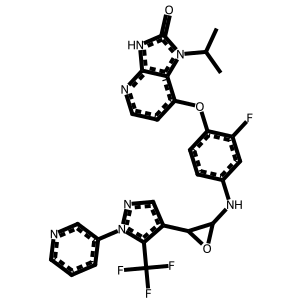 CC(C)n1c(=O)[nH]c2nccc(Oc3ccc(NC4OC4c4cnn(-c5cccnc5)c4C(F)(F)F)cc3F)c21